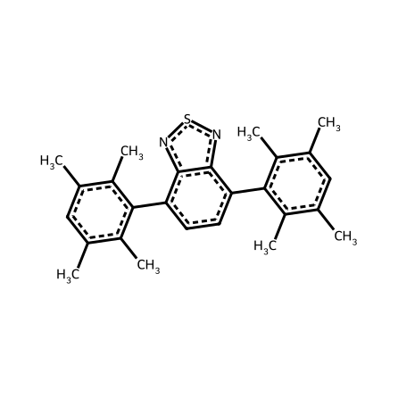 Cc1cc(C)c(C)c(-c2ccc(-c3c(C)c(C)cc(C)c3C)c3nsnc23)c1C